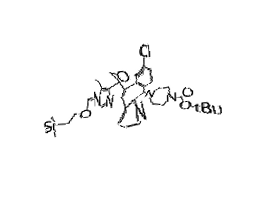 Cc1c(C2(C3=Cc4cccnc4[C@@H](N4CCN(C(=O)OC(C)(C)C)CC4)c4ccc(Cl)cc43)CO2)ncn1COCC[Si](C)(C)C